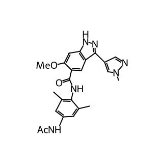 COc1cc2[nH]nc(-c3cnn(C)c3)c2cc1C(=O)Nc1c(C)cc(NC(C)=O)cc1C